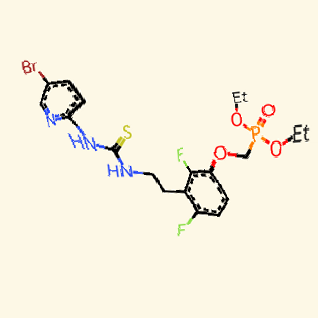 CCOP(=O)(COc1ccc(F)c(CCNC(=S)Nc2ccc(Br)cn2)c1F)OCC